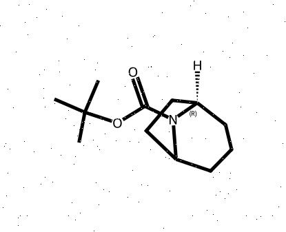 CC(C)(C)OC(=O)N1C2CCC[C@@H]1CC2